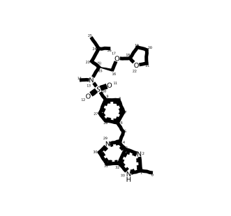 Cc1nc2c(Cc3ccc(S(=O)(=O)N(C)[C@H](COC4CCCO4)CC(C)C)cc3)nccc2[nH]1